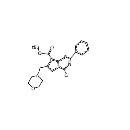 CC(C)(C)OC(=O)n1c(CN2CCOCC2)cc2c(Cl)nc(-c3ccccc3)nc21